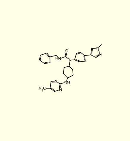 Cn1cc(-c2ccc(N(C(=O)NCc3ccccc3)C3CCC(Nc4ncc(C(F)(F)F)cn4)CC3)cc2)cn1